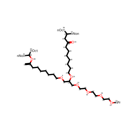 C=C(CCCCCCCOCC(COCCOCCOCCOCCC)OCCCCCCCC(=O)CC(CCCCCCCC)CCCCCCCCC)OC(CCCCCCCC)CCCCCCCCC